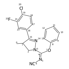 CC1CN(/C(=N\C#N)Oc2ccccc2)N=C1c1ccc(Cl)c(F)c1